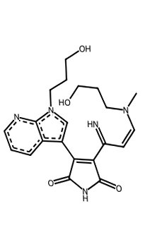 CN(/C=C\C(=N)C1=C(c2cn(CCCO)c3ncccc23)C(=O)NC1=O)CCCO